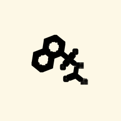 [CH2]CC(=O)NS(=O)(=O)c1cccc2ccccc12